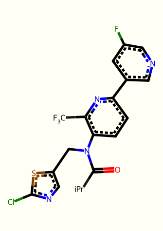 CC(C)C(=O)N(Cc1cnc(Cl)s1)c1ccc(-c2cncc(F)c2)nc1C(F)(F)F